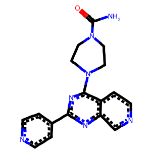 NC(=O)N1CCN(c2nc(-c3ccncc3)nc3cnccc23)CC1